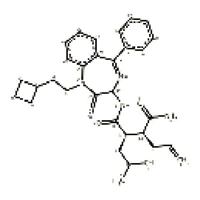 C=CC[C@H](C(N)=O)[C@@H](CC(C)C)C(=O)NC1N=C(c2ccccc2)c2ccccc2N(CCC2CCC2)C1=O